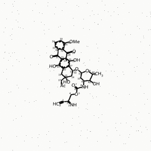 C#CC(=N)COC(=O)NC1CC(O[C@H]2C[C@](O)(CC(C)=O)Cc3c(O)c4c(c(O)c32)C(=O)c2c(OC)cccc2C4=O)OC(C)C1O